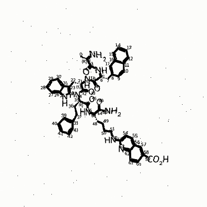 C[C@@H](N)C(=O)N[C@H](Cc1ccc2ccccc2c1)C(=O)N[C@@H](Cc1c[nH]c2ccccc12)C(=O)N[C@H](CCc1ccccc1)C(=O)N[C@@H](CCCCNc1ccc2cc(C(=O)O)ccc2n1)C(N)=O